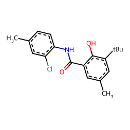 Cc1ccc(NC(=O)c2cc(C)cc(C(C)(C)C)c2O)c(Cl)c1